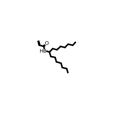 C=CC(=O)BC(CCCCCCC)CCCCCCC